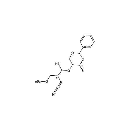 CCCCOC[C@H](N=[N+]=[N-])C(S)OC1COC(c2ccccc2)O[C@H]1C